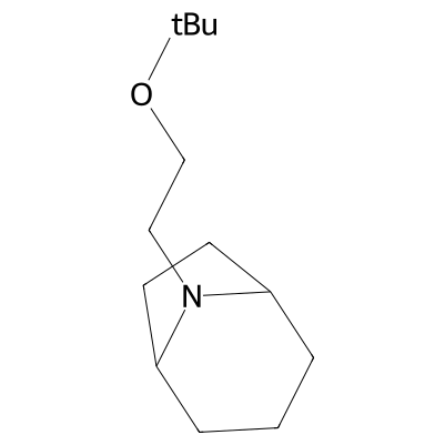 CC(C)(C)OCCN1C2CCCC1CC2